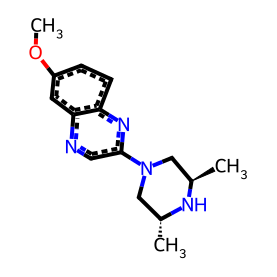 COc1ccc2nc(N3C[C@@H](C)N[C@H](C)C3)cnc2c1